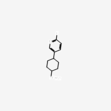 CCCCCC1CCC(c2ccc(F)nc2)CC1